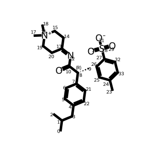 CC(C)Cc1ccc([C@@H](C)C(=O)N=C2CC[N+](C)(C)CC2)cc1.Cc1ccc(S(=O)(=O)[O-])cc1